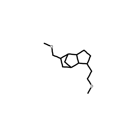 COCCC1CCC2C3CC(CC3COC)C12